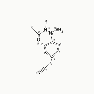 BN(c1ccc(CC#N)cc1)N(C)C(C)=O